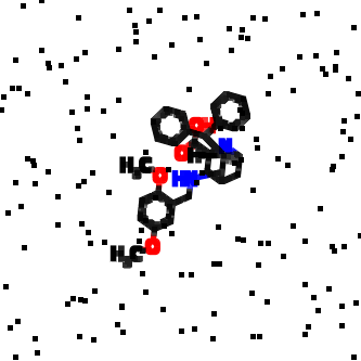 COc1ccc(OC)c(CNC2C3CCN(C(C(=O)O)C3)[C@H]2C(c2ccccc2)c2ccccc2)c1